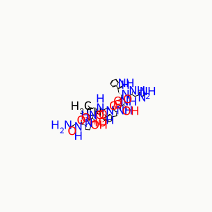 CC(C)C[C@H](NC(=O)CNC(=O)[C@H](Cc1ccc(O)cc1)NC(=O)[C@H](CO)NC(=O)[C@H](Cc1c[nH]c2ccccc12)NC(=O)[C@@H](N)Cc1c[nH]cn1)C(=O)N[C@@H](CO)C(=O)N1CCC[C@H]1C(=O)NCC(N)=O